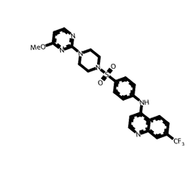 COc1ccnc(N2CCN(S(=O)(=O)c3ccc(Nc4ccnc5cc(C(F)(F)F)ccc45)cc3)CC2)n1